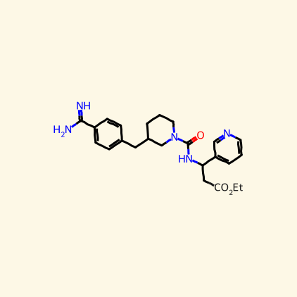 CCOC(=O)CC(NC(=O)N1CCCC(Cc2ccc(C(=N)N)cc2)C1)c1cccnc1